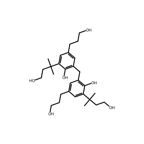 CC(C)(CCO)c1cc(CCCO)cc(Cc2cc(CCCO)cc(C(C)(C)CCO)c2O)c1O